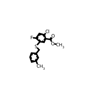 COC(=O)c1cc(SCc2cccc(C)c2)c(F)cc1Cl